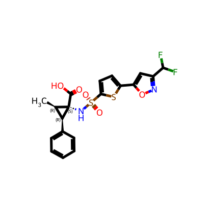 C[C@@H]1[C@H](c2ccccc2)[C@]1(NS(=O)(=O)c1ccc(-c2cc(C(F)F)no2)s1)C(=O)O